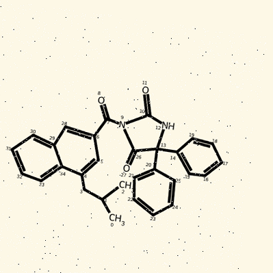 CC(C)Cc1cc(C(=O)N2C(=O)NC(c3ccccc3)(c3ccccc3)C2=O)cc2ccccc12